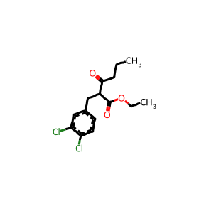 CCCC(=O)C(Cc1ccc(Cl)c(Cl)c1)C(=O)OCC